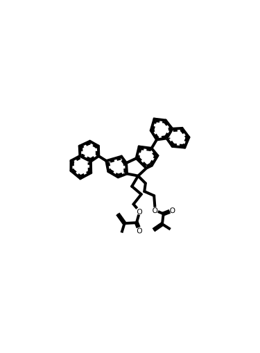 C=C(C)C(=O)OCCCC1(CCCOC(=O)C(=C)C)c2ccc(-c3cccc4ccccc34)cc2-c2cc(-c3cccc4ccccc34)ccc21